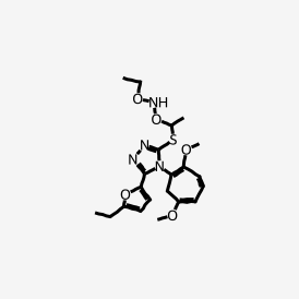 CCONOC(C)Sc1nnc(-c2ccc(CC)o2)n1C1=C(OC)C=CC=C(OC)C1